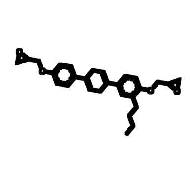 CCCCc1cc(C2=CCC(c3ccc(OCC4CO4)cc3)=CC2)ccc1OCC1CO1